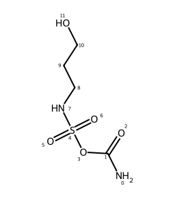 NC(=O)OS(=O)(=O)NCCCO